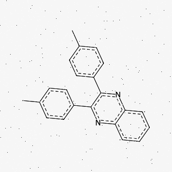 Cc1ccc(-c2nc3[c]cc[c]c3nc2-c2ccc(C)cc2)cc1